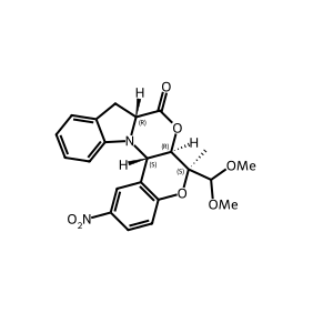 COC(OC)[C@@]1(C)Oc2ccc([N+](=O)[O-])cc2[C@H]2[C@H]1OC(=O)[C@H]1Cc3ccccc3N12